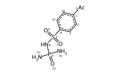 CC(=O)c1ccc(S(=O)(=O)NP(N)(N)=O)cc1